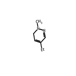 CCC1=CCN(C)N=C1